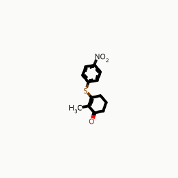 CC1=C(Sc2ccc([N+](=O)[O-])cc2)CCCC1=O